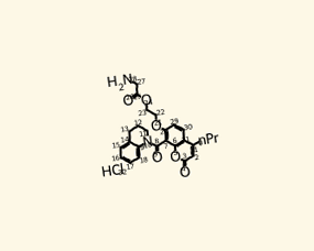 CCCc1cc(=O)oc2c(C(=O)N3CCCc4ccccc43)c(OCCOC(=O)CN)ccc12.Cl